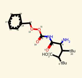 CC(C)(C)C(C(=O)O)C(C(N)C(=O)NC(=O)OOCc1ccccc1)C(C)(C)C